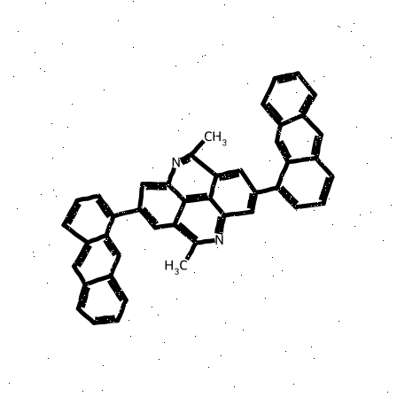 Cc1nc2cc(-c3cccc4cc5ccccc5cc34)cc3c(C)nc4cc(-c5cccc6cc7ccccc7cc56)cc1c4c23